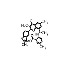 COC(=O)c1nc(C)ccc1NC(C)c1cc(C)cc2c(=O)c(C)c(-c3ccc4nn(C)cc4c3)oc12